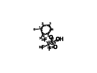 Cc1ccccc1C.O=S(=O)(O)C(F)(F)F